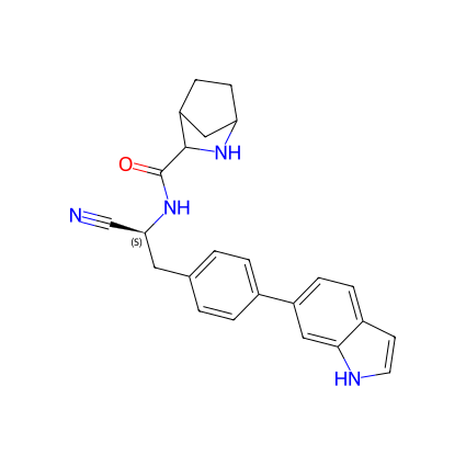 N#C[C@H](Cc1ccc(-c2ccc3cc[nH]c3c2)cc1)NC(=O)C1NC2CCC1C2